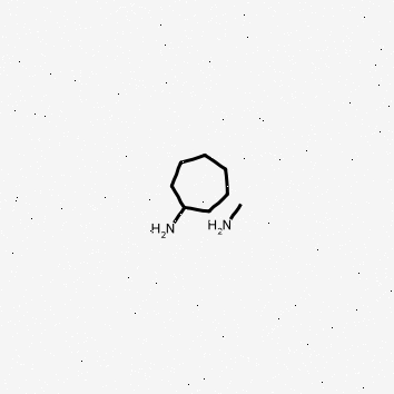 CN.NC1CCCCCC1